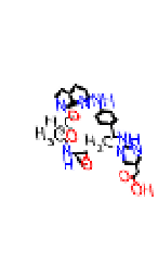 CC(=O)NC1COC1.COc1nccc2ccc(Nc3ccc(C(C)Nc4ncc(CC(=O)O)cn4)cc3)nc12